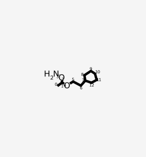 CC(ON)OCCC1CCCCC1